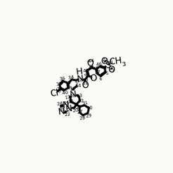 CS(=O)(=O)c1ccc2oc(C(=O)N[C@H](CCN3CCC(Cn4cncn4)(C4CCCCC4)CC3)Cc3ccc(Cl)cc3)cc(=O)c2c1